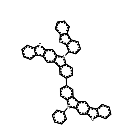 c1ccc(-n2c3ccc(-c4ccc5c(c4)c4cc6c(cc4n5-c4cccc5c4sc4ccccc45)oc4ccccc46)cc3c3cc4c(cc32)oc2ccccc24)cc1